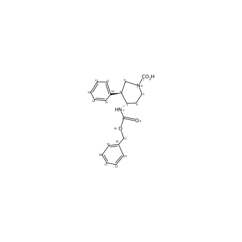 O=C(N[C@H]1CCN(C(=O)O)C[C@@H]1c1ccccc1)OCc1ccccc1